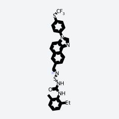 CCc1cccc(C)c1NC(=O)NS/N=C/c1ccc2c(ccc3c2ncn3-c2ccc(SC(F)(F)F)cc2)c1